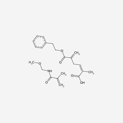 C=C(C)C(=O)NCOC.C=C(CC=C(C)C(=O)O)C(=O)OCCc1ccccc1